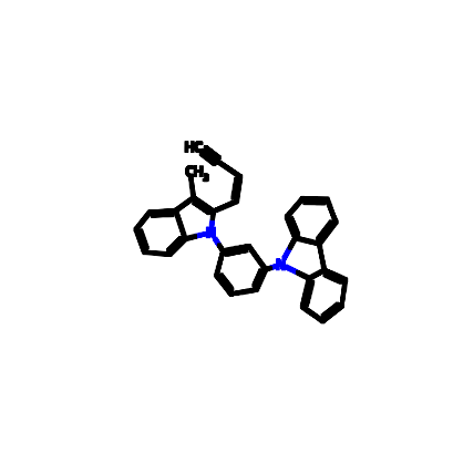 C#C/C=C\c1c(C)c2ccccc2n1-c1cccc(-n2c3ccccc3c3ccccc32)c1